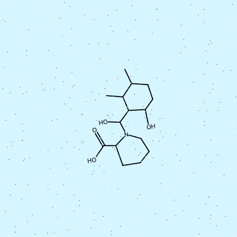 CC1CCC(O)C(C(O)N2CCCCC2C(=O)O)C1C